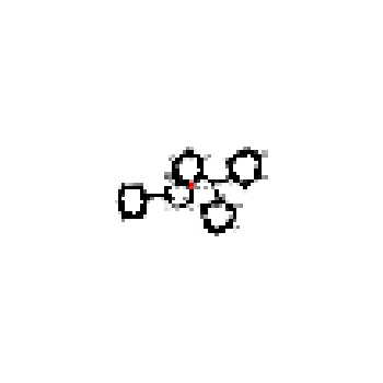 c1ccc(C2=N[C@@H](c3ccccc3P(c3ccccc3)c3ccccc3)CS2)cc1